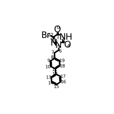 O=c1[nH]c(=O)n(CCc2ccc(-c3ccccc3)cc2)nc1Br